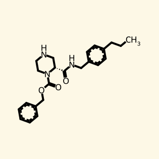 CCCc1ccc(CNC(=O)[C@H]2CNCCN2C(=O)OCc2ccccc2)cc1